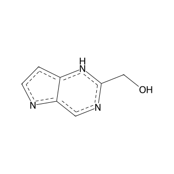 OCc1ncc2nccc-2[nH]1